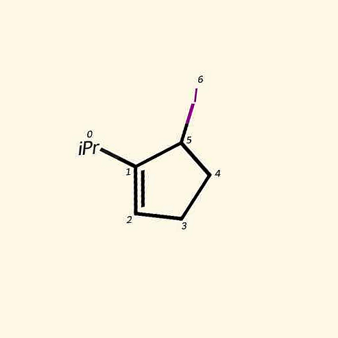 CC(C)C1=CCCC1I